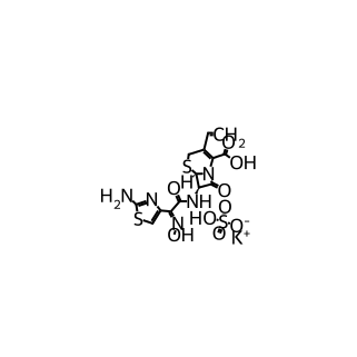 C=CC1=C(C(=O)O)N2C(=O)[C@@H](NC(=O)C(=NO)c3csc(N)n3)[C@H]2SC1.O=S(=O)([O-])O.[K+]